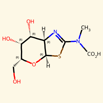 CN(C(=O)O)C1=N[C@@H]2[C@@H](O)[C@@H](O)[C@@H](CO)O[C@@H]2S1